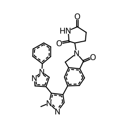 Cn1ncc(-c2ccc3c(c2)CN(C2CCC(=O)NC2=O)C3=O)c1-c1cnn(-c2ccccc2)c1